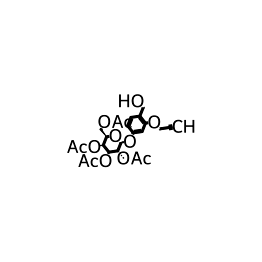 C#CCOc1cc(O[C@@H]2O[C@H](COC(C)=O)[C@@H](OC(C)=O)[C@H](OC(C)=O)[C@H]2OC(C)=O)ccc1CO